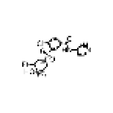 CCC1C[C@@H](S(=O)(=O)c2cc(C(=O)Nc3ccnnc3)ccc2Cl)C[C@H](C)[C@]1(C)O